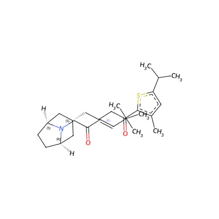 Cc1cc(C(C)C)sc1C(=O)CCC[C@@H]1C[C@H]2CC[C@@H](C1)N2CC(=O)/C=C/C(C)(C)C